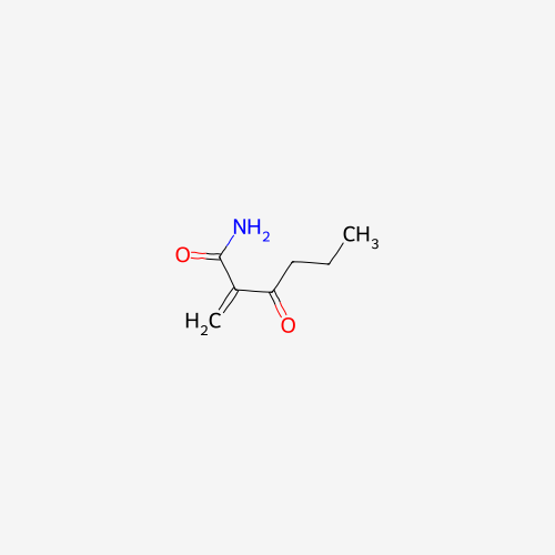 C=C(C(N)=O)C(=O)CCC